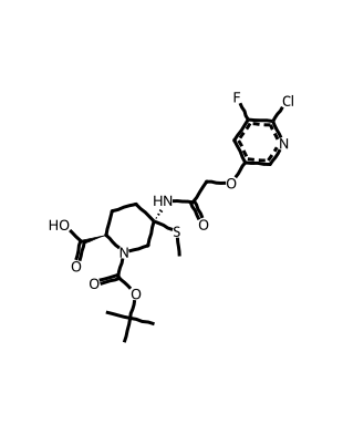 CS[C@]1(NC(=O)COc2cnc(Cl)c(F)c2)CC[C@H](C(=O)O)N(C(=O)OC(C)(C)C)C1